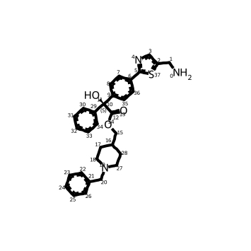 NCc1cnc(-c2ccc([C@](O)(C(=O)OCC3CCN(Cc4ccccc4)CC3)c3ccccc3)cc2)s1